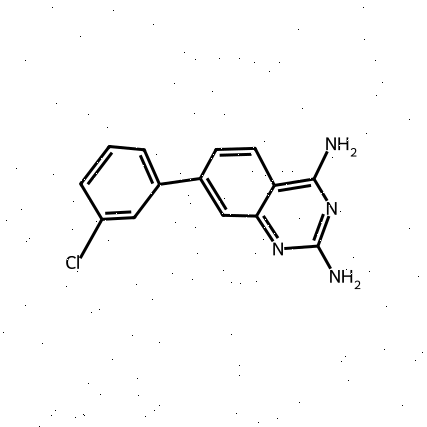 Nc1nc(N)c2ccc(-c3cccc(Cl)c3)cc2n1